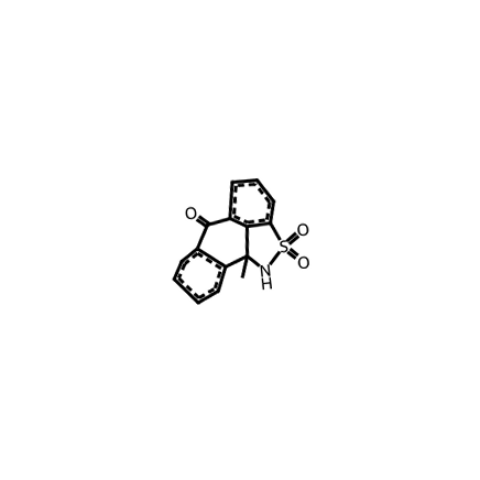 CC12NS(=O)(=O)c3cccc(c31)C(=O)c1ccccc12